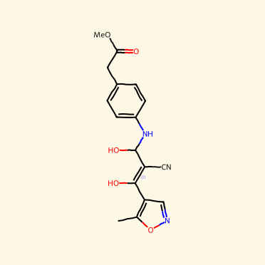 COC(=O)Cc1ccc(NC(O)/C(C#N)=C(\O)c2cnoc2C)cc1